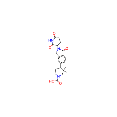 CC1(C)CN(C(=O)O)CCC1c1ccc2c(c1)CN(C1CCC(=O)NC1=O)C2=O